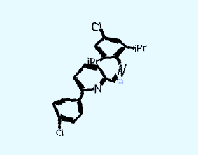 CC(C)c1cc(Cl)cc(C(C)C)c1/N=C\c1cccc(-c2ccc(Cl)cc2)n1